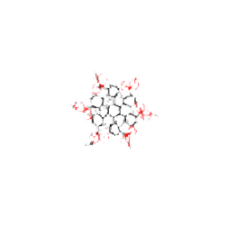 CCOC(=O)c1cccc(-c2c(-c3cccc(C(=O)OCC)c3)c(-c3cccc(C(=O)OCC)c3)c(-c3cccc(C(=O)OCC)c3)c(-c3cccc(C(=O)OCC)c3)c2-c2cccc(C(=O)OCC)c2)c1